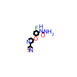 NC(=O)Nc1cc(Oc2ccnc(-c3cnsc3)c2)ccc1F